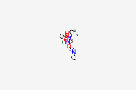 O=C(ON(C1SC=C(OC2CCN(CC3CCCCC3)CC2)N1Cl)S(=O)(=O)c1ccccc1)C(F)(F)F